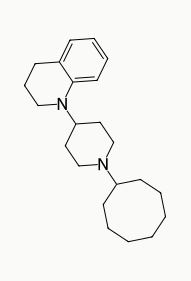 c1ccc2c(c1)CCCN2C1CCN(C2CCCCCCC2)CC1